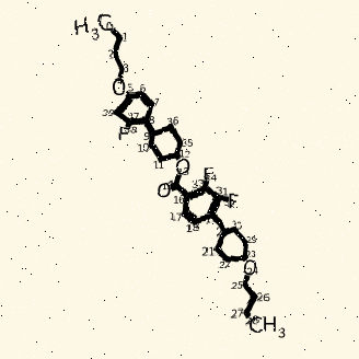 CCCCOc1ccc(C2CCC(OC(=O)c3ccc(C4CCC(OCCCC)CC4)c(F)c3F)CC2)c(F)c1